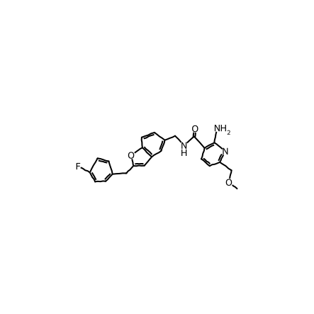 COCc1ccc(C(=O)NCc2ccc3oc(Cc4ccc(F)cc4)cc3c2)c(N)n1